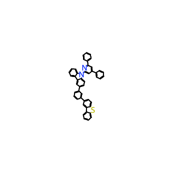 c1ccc(-c2cc(-c3ccccc3)nc(-n3c4ccccc4c4cc(-c5cccc(-c6ccc7sc8ccccc8c7c6)c5)ccc43)c2)cc1